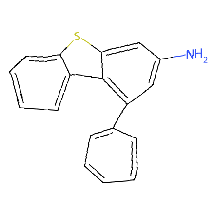 Nc1cc(-c2ccccc2)c2c(c1)sc1ccccc12